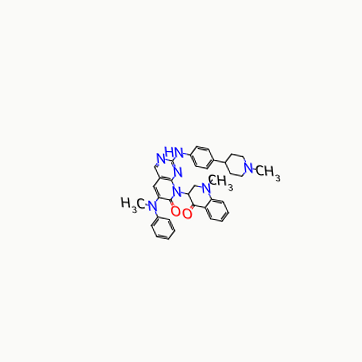 CN1CCC(c2ccc(Nc3ncc4cc(N(C)c5ccccc5)c(=O)n(C5CN(C)c6ccccc6C5=O)c4n3)cc2)CC1